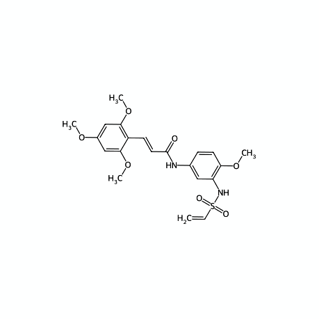 C=CS(=O)(=O)Nc1cc(NC(=O)C=Cc2c(OC)cc(OC)cc2OC)ccc1OC